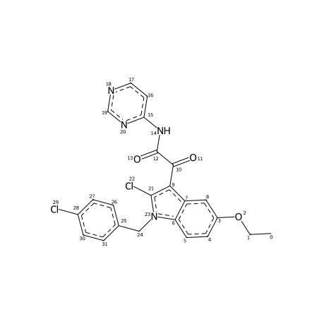 CCOc1ccc2c(c1)c(C(=O)C(=O)Nc1ccncn1)c(Cl)n2Cc1ccc(Cl)cc1